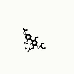 CCc1cc(OC(CC)CC)c(CN)nc1-c1ccc(OC(C)C)cc1OC